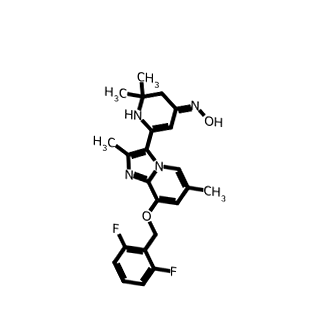 Cc1cc(OCc2c(F)cccc2F)c2nc(C)c(C3=CC(=NO)CC(C)(C)N3)n2c1